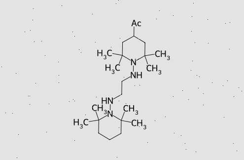 CC(=O)C1CC(C)(C)N(NCCNN2C(C)(C)CCCC2(C)C)C(C)(C)C1